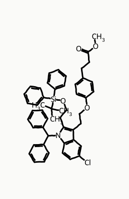 COC(=O)CCc1ccc(OCCc2c(CCO[Si](c3ccccc3)(c3ccccc3)C(C)(C)C)n(C(c3ccccc3)c3ccccc3)c3ccc(Cl)cc23)cc1